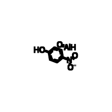 O=[N+]([O-])c1ccc(O)cc1.[O]=[AlH]